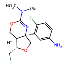 CC(C)(C)N(C(=O)O)C1=N[C@@]2(c3cc(N)ccc3F)CO[C@H](CF)[C@H]2CO1